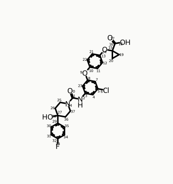 O=C(Nc1cc(Cl)cc(Oc2ccc(OC3(C(=O)O)CC3)cc2)c1)N1CCC(O)(c2ccc(F)cc2)CC1